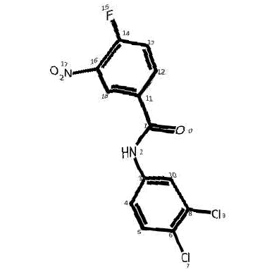 O=C(Nc1ccc(Cl)c(Cl)c1)c1ccc(F)c([N+](=O)[O-])c1